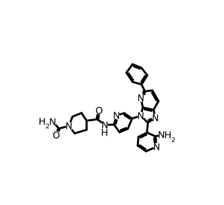 NC(=O)N1CCC(C(=O)Nc2ccc(-n3c(-c4cccnc4N)nc4ccc(-c5ccccc5)nc43)cn2)CC1